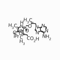 CC(C)OC(=O)[C@H](C)N[P@@](=O)(CO[C@H](C)Cn1cnc2c(N)ncnc21)N[C@H](C)CC(=O)O